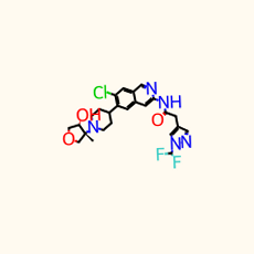 C[C@@]1(N2CCC(c3cc4cc(NC(=O)Cc5cnn(C(F)F)c5)ncc4cc3Cl)CC2)COC[C@@H]1O